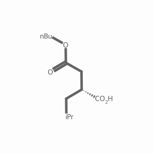 CCCCOC(=O)C[C@@H](CC(C)C)C(=O)O